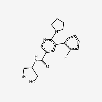 CC(C)C[C@H](CO)NC(=O)c1cnc(N2CCCC2)c(-c2ccccc2F)c1